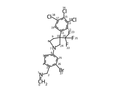 C=NCc1ccc(N2CCC(c3cc(Cl)c(Cl)c(Cl)c3)(C(F)(F)F)C2)cc1Br